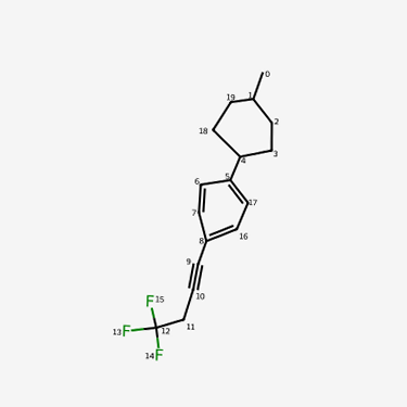 CC1CCC(c2ccc(C#CCC(F)(F)F)cc2)CC1